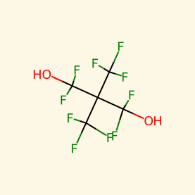 OC(F)(F)C(C(O)(F)F)(C(F)(F)F)C(F)(F)F